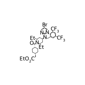 CCOC(=O)C[C@H]1CC[C@H](C(=O)N2[C@H](CC)C[C@H](N(Cc3cc(C(F)(F)F)cc(C(F)(F)F)c3)c3ncc(Br)cn3)C[C@@H]2CC)CC1